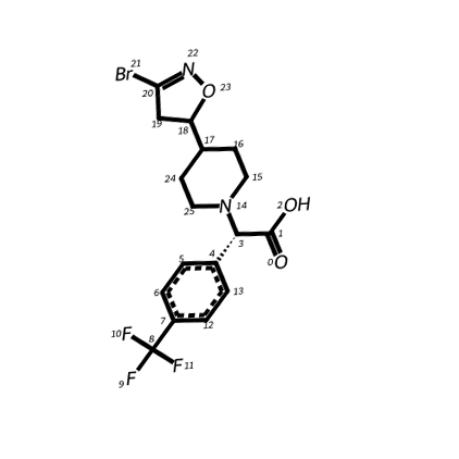 O=C(O)[C@H](c1ccc(C(F)(F)F)cc1)N1CCC(C2CC(Br)=NO2)CC1